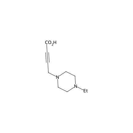 CCN1CCN(CC#CC(=O)O)CC1